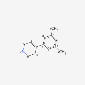 Cc1cc(C)cc(C2=CC[N]CC2)c1